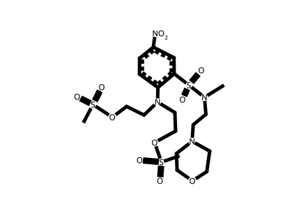 CN(CCN1CCOCC1)S(=O)(=O)c1cc([N+](=O)[O-])ccc1N(CCOS(C)(=O)=O)CCOS(C)(=O)=O